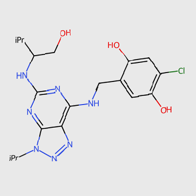 CC(C)C(CO)Nc1nc(NCc2cc(O)c(Cl)cc2O)c2nnn(C(C)C)c2n1